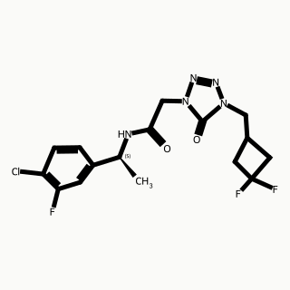 C[C@H](NC(=O)Cn1nnn(CC2CC(F)(F)C2)c1=O)c1ccc(Cl)c(F)c1